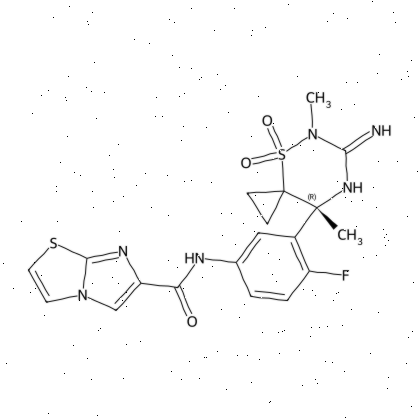 CN1C(=N)N[C@](C)(c2cc(NC(=O)c3cn4ccsc4n3)ccc2F)C2(CC2)S1(=O)=O